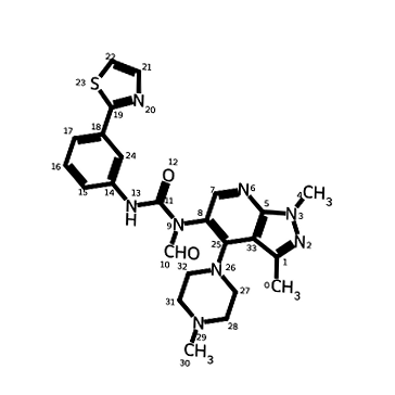 Cc1nn(C)c2ncc(N(C=O)C(=O)Nc3cccc(-c4nccs4)c3)c(N3CCN(C)CC3)c12